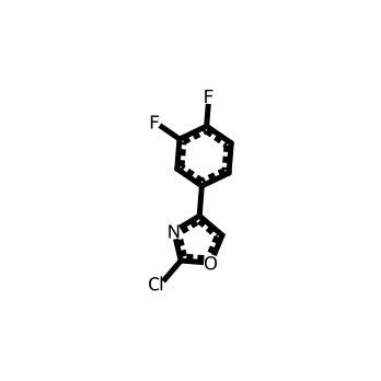 Fc1ccc(-c2coc(Cl)n2)cc1F